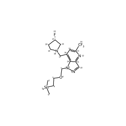 C[Si](C)(C)CCOCn1ncc2nc(C(F)(F)F)cc(CN3CC[C@H](F)C3)c21